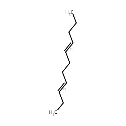 [CH2]CC/C=C/CC/C=C/CC